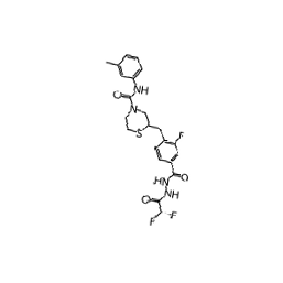 Cc1cccc(NC(=O)N2CCSC(Cc3ccc(C(=O)NNC(=O)C(F)F)cc3F)C2)c1